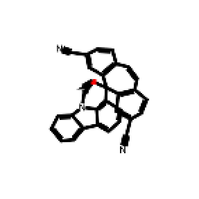 N#Cc1ccc2c(c1)C1(c3cc(C#N)ccc3C=C2)c2ccccc2-n2c3ccccc3c3cccc1c32